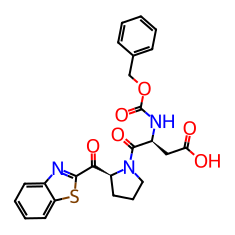 O=C(O)C[C@H](NC(=O)OCc1ccccc1)C(=O)N1CCC[C@H]1C(=O)c1nc2ccccc2s1